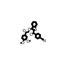 COc1ccc(C(=O)COc2c(C(=O)c3ccc(C#N)cc3)sc3ccccc23)cc1OC